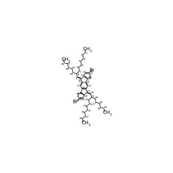 CCCCCCCCC(C=C1c2cc3c(cc2-c2sc(Br)cc21)C(=CC(CCCCCC)CCCCCCCC)c1cc(Br)sc1-3)CCCCCC